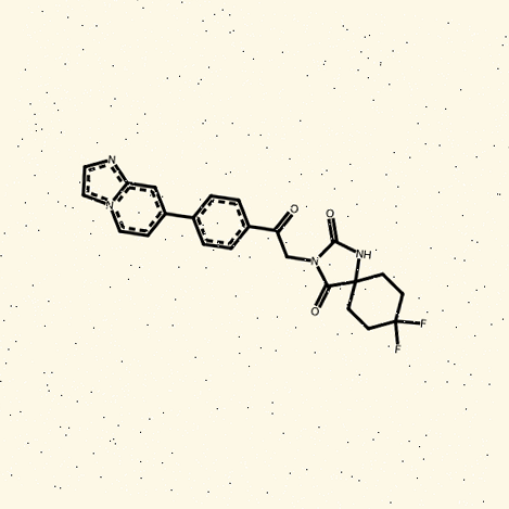 O=C(CN1C(=O)NC2(CCC(F)(F)CC2)C1=O)c1ccc(-c2ccn3ccnc3c2)cc1